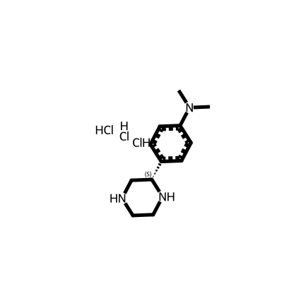 CN(C)c1ccc([C@H]2CNCCN2)cc1.Cl.Cl.Cl